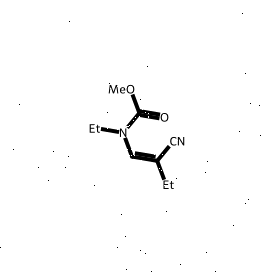 CC/C(C#N)=C/N(CC)C(=O)OC